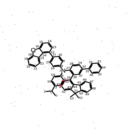 CC(C)c1ccc(N(c2ccc(-c3cccc4oc5ccccc5c34)cc2)c2ccc(-c3ccccc3)cc2-c2cccc3c2-c2ccccc2C3(C)C)cc1